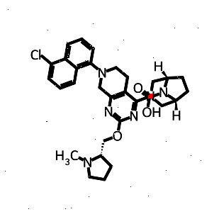 CN1CCC[C@H]1COc1nc2c(c(N3C[C@H]4CC[C@@H](C3)N4C(=O)O)n1)CCN(c1cccc3c(Cl)cccc13)C2